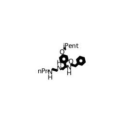 CCCNCCNCC(NC(=O)Cc1ccccc1)c1ccc(OCC(C)CCC)cc1